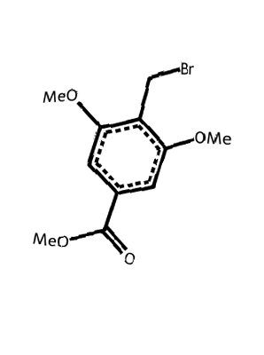 COC(=O)c1cc(OC)c(CBr)c(OC)c1